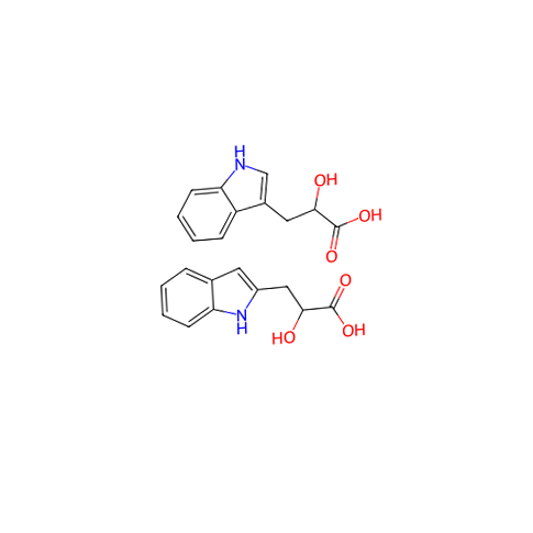 O=C(O)C(O)Cc1c[nH]c2ccccc12.O=C(O)C(O)Cc1cc2ccccc2[nH]1